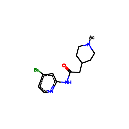 CC(=O)N1CCC(CC(=O)Nc2cc(Br)ccn2)CC1